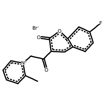 Cc1cccc[n+]1CC(=O)c1cc2ccc(F)cc2oc1=O.[Br-]